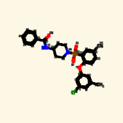 Cc1cc(Cl)cc(Oc2ccc(C#N)cc2S(=O)(=O)N2CCC(NC(=O)c3ccccc3)CC2)c1